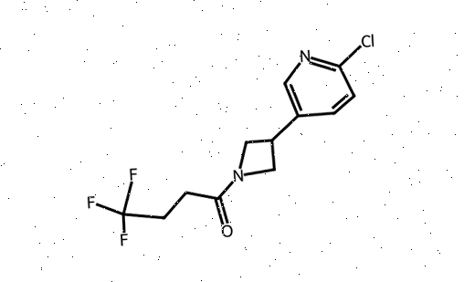 O=C(CCC(F)(F)F)N1CC(c2ccc(Cl)nc2)C1